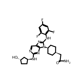 NC(=O)C[C@H]1CC[C@@H](n2c(Nc3c(F)cc(F)cc3F)nc3cnc(N[C@H]4CC[C@H](O)C4)nc32)CC1